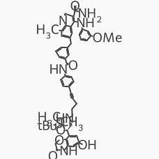 COc1cccc(Nc2c(C(N)=O)cnc3c(C)cc(Cc4cccc(C(=O)Nc5ccc(C#CCCCNC[C@H](O[Si](C)(C)C(C)(C)C)c6cc(O)cc7c6OCC(=O)N7)cc5)c4)cc23)c1